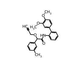 C#CCOC(C(=O)Nc1ccccc1-c1ccc(OC)c(OC)c1)c1cccc(C)c1